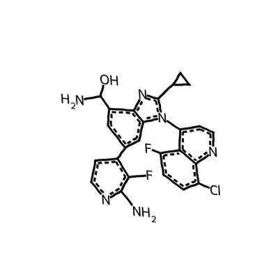 Nc1nccc(-c2cc(C(N)O)c3nc(C4CC4)n(-c4ccnc5c(Cl)ccc(F)c45)c3c2)c1F